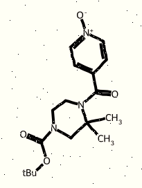 CC(C)(C)OC(=O)N1CCN(C(=O)c2cc[n+]([O-])cc2)C(C)(C)C1